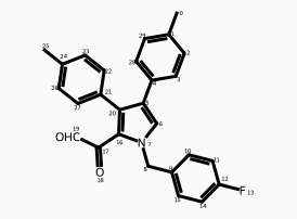 Cc1ccc(-c2cn(Cc3ccc(F)cc3)c(C(=O)C=O)c2-c2ccc(C)cc2)cc1